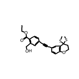 CCOC(=O)c1ccc(C#Cc2ccc3c(c2)C(SC)(SC)CCO3)cc1CO